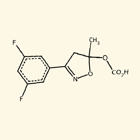 CC1(OC(=O)O)CC(c2cc(F)cc(F)c2)=NO1